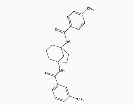 Cc1ccc(C(=O)NC23CCCC(NC(=O)c4cccc(C)c4)(CC2)C3)nc1